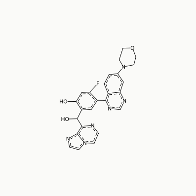 Oc1cc(F)c(-c2ncnc3cc(N4CCOCC4)ccc23)cc1C(O)c1nccn2ccnc12